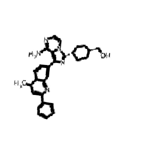 CC1C=C(c2ccccc2)N=C2C=C(c3nc([C@H]4CC[C@H](CO)CC4)n4ccnc(N)c34)C=CC21